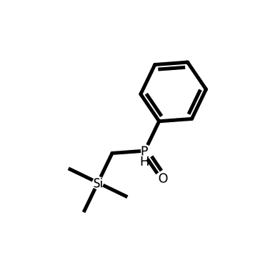 C[Si](C)(C)C[PH](=O)c1ccccc1